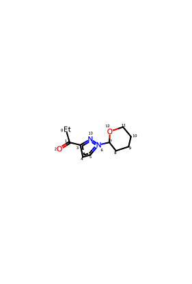 CCC(=O)c1ccn(C2CCCCO2)n1